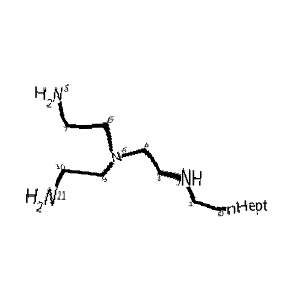 CCCCCCCCNCCN(CCN)CCN